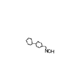 ON=Cc1ccc(-c2ccccc2)cc1